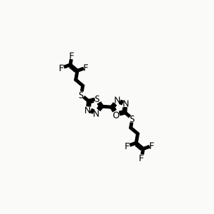 FC(F)=C(F)CCSc1nnc(-c2nnc(SCCC(F)=C(F)F)s2)o1